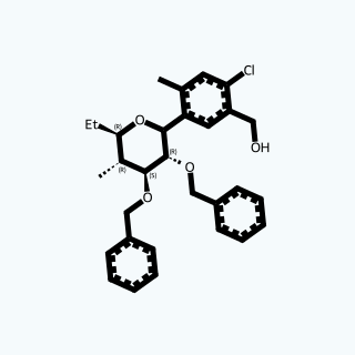 CC[C@H]1OC(c2cc(CO)c(Cl)cc2C)[C@H](OCc2ccccc2)[C@@H](OCc2ccccc2)[C@@H]1C